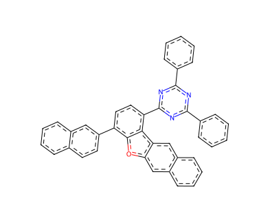 c1ccc(-c2nc(-c3ccccc3)nc(-c3ccc(-c4ccc5ccccc5c4)c4oc5cc6ccccc6cc5c34)n2)cc1